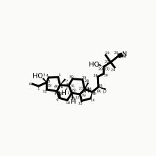 CC[C@]1(O)CC[C@@]2(C)C(=CC[C@H]3[C@@H]4CC[C@H]([C@H](C)CC[C@H](O)C(C)(C)C#N)[C@@]4(C)CC[C@@H]32)C1